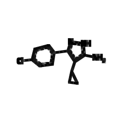 Nc1[nH]nc(-c2ccc(Cl)cc2)c1C1CC1